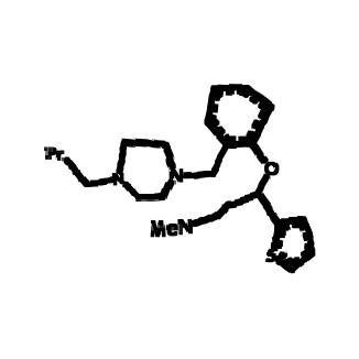 CNCCC(Oc1ccccc1CN1CCN(CC(C)C)CC1)c1cccs1